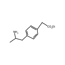 CCOC(=O)Cc1ccc(CC(C)N)cc1